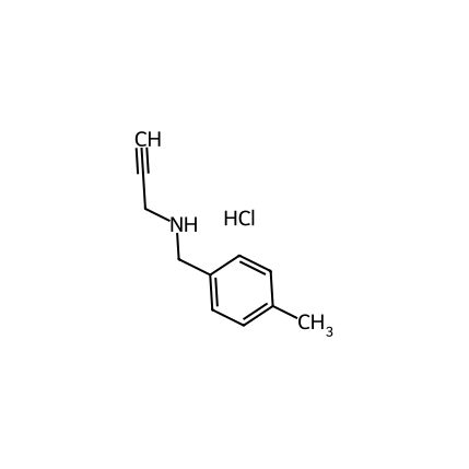 C#CCNCc1ccc(C)cc1.Cl